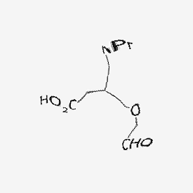 CCCC(OC=O)C(=O)O